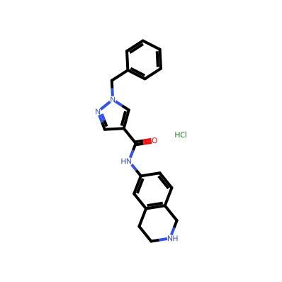 Cl.O=C(Nc1ccc2c(c1)CCNC2)c1cnn(Cc2ccccc2)c1